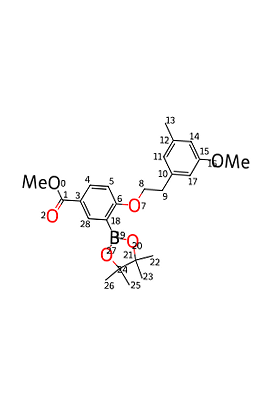 COC(=O)c1ccc(OCCc2cc(C)cc(OC)c2)c(B2OC(C)(C)C(C)(C)O2)c1